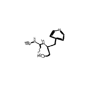 CC(C)(C)NC(=S)NC(CO)Cc1ccncc1